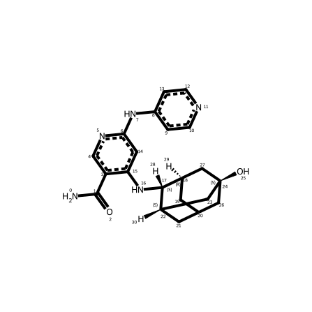 NC(=O)c1cnc(Nc2ccncc2)cc1N[C@@H]1[C@@H]2CC3C[C@H]1C[C@@](O)(C3)C2